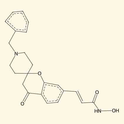 O=C(/C=C/c1ccc2c(c1)OC1(CCN(Cc3ccccc3)CC1)CC2=O)NO